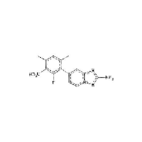 Cc1cc(C)c(-c2ccn3nc(N)nc3c2)c(F)c1C(=O)O